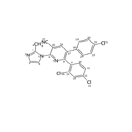 Cc1nccn1-c1nc(-c2ccc(Cl)cc2Cl)c(-c2ccc(Cl)cc2)cc1C#N